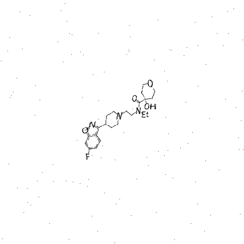 CCN(CCN1CCC(c2noc3cc(F)ccc23)CC1)C(=O)C1(O)CCOCC1